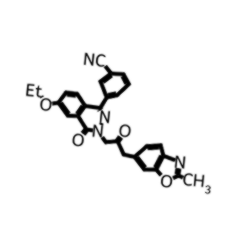 CCOc1ccc2c(-c3cccc(C#N)c3)nn(CC(=O)Cc3ccc4nc(C)oc4c3)c(=O)c2c1